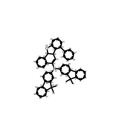 CC1(C)c2ccccc2-c2ccc(N(C3=CC4c5c(cccc5-c5ccccc5)OC4c4ccccc43)c3ccc4c(c3)C(C)(C)c3ccccc3-4)cc21